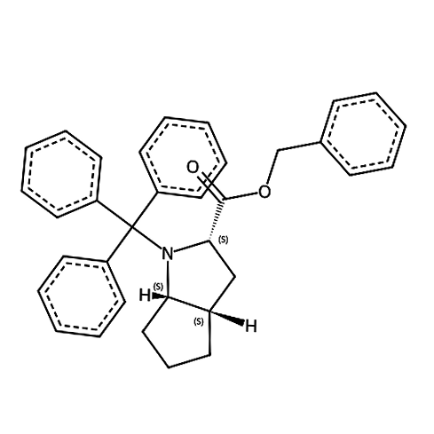 O=C(OCc1ccccc1)[C@@H]1C[C@@H]2CCC[C@@H]2N1C(c1ccccc1)(c1ccccc1)c1ccccc1